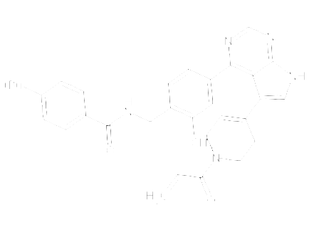 C=CC(=O)N1CC=C(c2c[nH]c3ncnc(-c4ccc(CNC(=O)c5ccc(C(C)(C)C)cc5)c(C)c4)c23)CC1